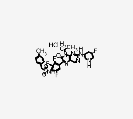 Cc1ccc(CS(=O)(=O)Nc2c(F)cc(-c3nc4cnc(N[C@@H]5CNC[C@@H](F)C5)nc4n(C(C)C)c3=O)c(F)c2F)cc1.Cl